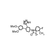 COc1ccc(-c2ccc(NC(=O)C3(c4cccc(F)c4C)CC3)cc2-c2nnn[nH]2)cc1OC